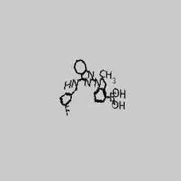 CC1Cc2c(B(O)O)cccc2N1c1nc2c(c(NCc3cccc(F)c3)n1)CCCCC2